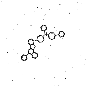 C1=CC(N(C2=CCC=C(c3cccc4c3Cc3c-4cc(-c4ccccc4)c4ccccc34)C=C2)c2ccccc2)=CCC=C1c1ccccc1